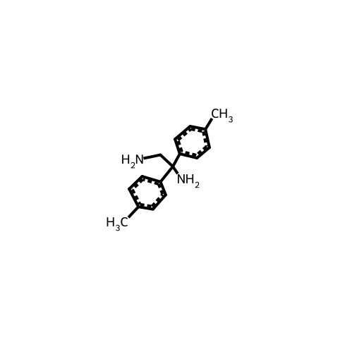 Cc1ccc(C(N)(CN)c2ccc(C)cc2)cc1